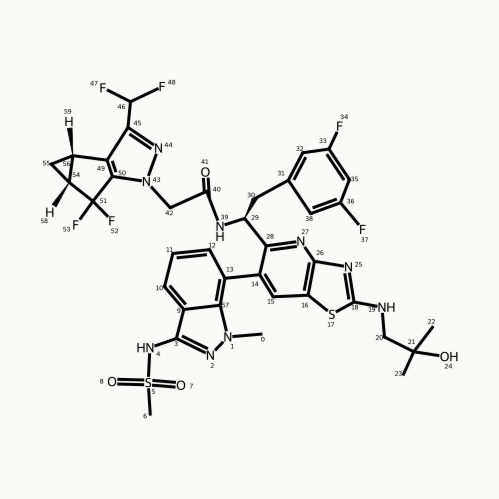 Cn1nc(NS(C)(=O)=O)c2cccc(-c3cc4sc(NCC(C)(C)O)nc4nc3[C@H](Cc3cc(F)cc(F)c3)NC(=O)Cn3nc(C(F)F)c4c3C(F)(F)[C@@H]3C[C@H]43)c21